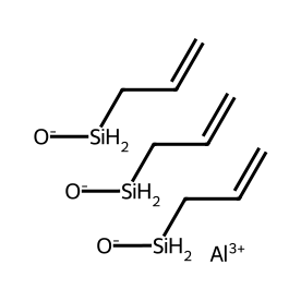 C=CC[SiH2][O-].C=CC[SiH2][O-].C=CC[SiH2][O-].[Al+3]